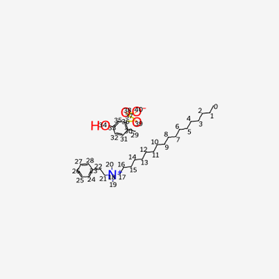 CCCCCCCCCCCCCCCCCC[N+](C)(C)CCc1ccccc1.Cc1ccc(O)cc1S(=O)(=O)[O-]